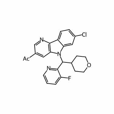 CC(=O)c1cnc2c3ccc(Cl)cc3n(C(c3ncccc3F)C3CCOCC3)c2c1